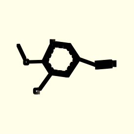 COc1ncc(C#N)cc1Cl